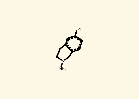 CC(C)c1ccc2c(c1)CCN(N)C2